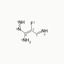 N=C/C(F)=C(\N)N=N